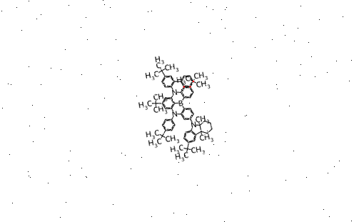 CC(C)(C)c1ccc(N2c3cc(N4c5ccc(C(C)(C)C)cc5C5(C)CCCCC45C)ccc3B3c4ccc(C(C)(C)C)cc4N(c4ccc(C(C)(C)C)cc4-c4ccccc4)c4cc(C(C)(C)C)cc2c43)cc1